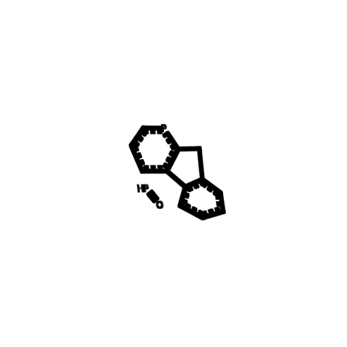 O=P.c1ccc2c(c1)Cc1pcccc1-2